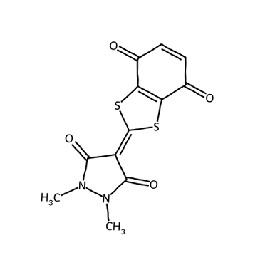 CN1C(=O)C(=C2SC3=C(S2)C(=O)C=CC3=O)C(=O)N1C